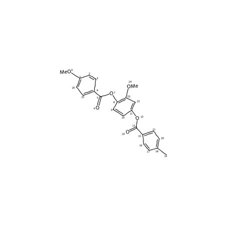 COc1ccc(C(=O)Oc2ccc(OC(=O)c3ccc(C)cc3)cc2OC)cc1